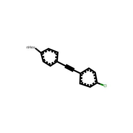 CCCCCCc1ccc(C#Cc2ccc(Cl)cc2)cc1